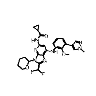 COc1c(Nc2cc(NC(=O)C3CC3)nc3c2nc(C(F)F)n3C2CCCCO2)cccc1-c1cnn(C)c1